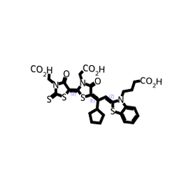 O=C(O)CCCN1/C(=C/C(=c2/s/c(=C3\SC(=S)N(CC(=O)O)C3=O)n(CC(=O)O)c2=O)C2CCCC2)Sc2ccccc21